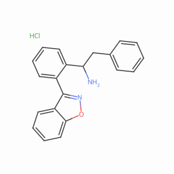 Cl.NC(Cc1ccccc1)c1ccccc1-c1noc2ccccc12